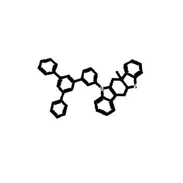 CC12Cc3c(c4ccccc4n3-c3cccc(-c4cc(-c5ccccc5)cc(-c5ccccc5)c4)c3)CC1Sc1ccccc12